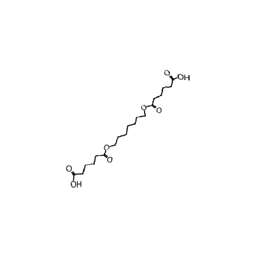 O=C(O)CCCCC(=O)OCCCCCCCOC(=O)CCCCC(=O)O